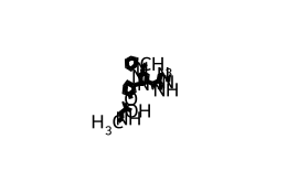 CNCC(O)COc1cccc(-c2nc(-c3c[nH]c4ncncc34)cc(N(C)C3CCCCC3)n2)c1